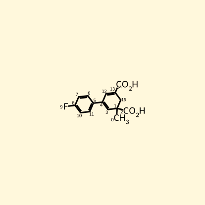 CC1(C(=O)O)C=C(c2ccc(F)cc2)C=C(C(=O)O)C1